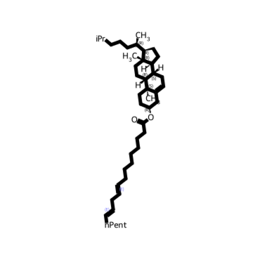 CCCCC/C=C/C/C=C/CCCCCCCC(=O)O[C@@H]1CC[C@]2(C)C(=CC[C@@H]3[C@H]2CC[C@]2(C)[C@@H]([C@H](C)CCCC(C)C)CC[C@@H]32)C1